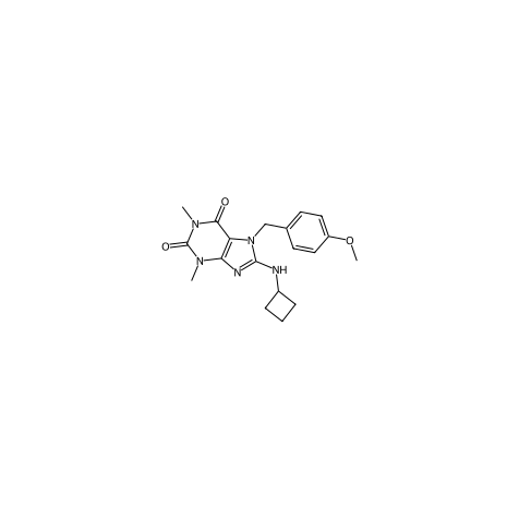 COc1ccc(Cn2c(NC3CCC3)nc3c2c(=O)n(C)c(=O)n3C)cc1